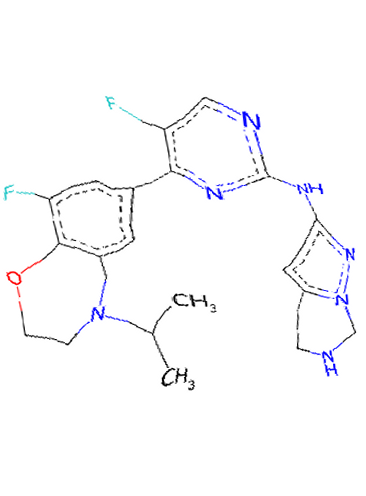 CC(C)N1CCOc2c(F)cc(-c3nc(Nc4cc5n(n4)CNC5)ncc3F)cc21